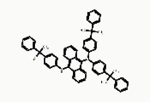 CC(C)(c1ccccc1)c1ccc(Nc2c3ccccc3c(N(c3ccc(C(C)(C)c4ccccc4)cc3)c3ccc(C(C)(C)c4ccccc4)cc3)c3ccccc23)cc1